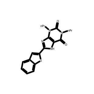 CCCn1c(=O)c2[nH]c(-c3cc4ccccc4s3)nc2n(CCC)c1=O